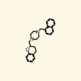 c1ccc2c(c1)CCC(CN1CCN(Cc3cccc4ccccc34)CC1)O2